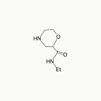 CCNC(=O)C1CNCCO1